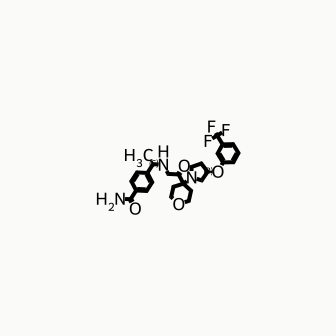 C[C@H](NCC(=O)C1(N2CC[C@@H](Oc3cccc(C(F)(F)F)c3)C2)CCOCC1)c1ccc(C(N)=O)cc1